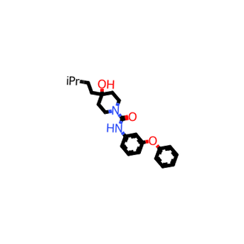 CC(C)CCC1(O)CCN(C(=O)Nc2cccc(Oc3ccccc3)c2)CC1